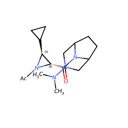 CC(=O)N1[C@@H](C(=O)N2C3CCC2CN(N(C)C)C3)[C@@H]1C1CC1